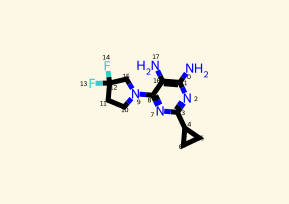 Nc1nc(C2CC2)nc(N2CCC(F)(F)C2)c1N